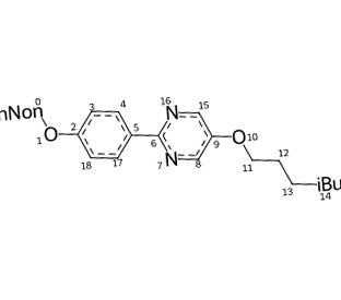 CCCCCCCCCOc1ccc(-c2ncc(OCCCC(C)CC)cn2)cc1